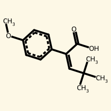 COc1ccc(C(=CC(C)(C)C)C(=O)O)cc1